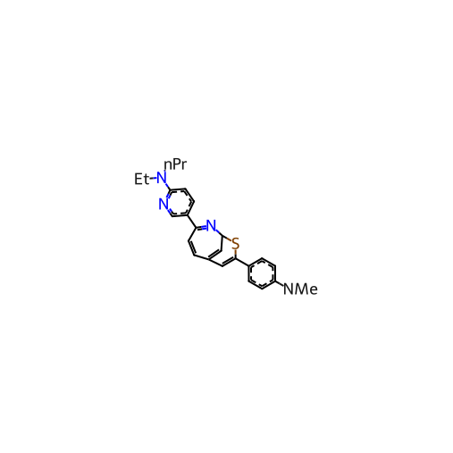 CCCN(CC)c1ccc(C2=NC3C=C(C=C2)C=C(c2ccc(NC)cc2)S3)cn1